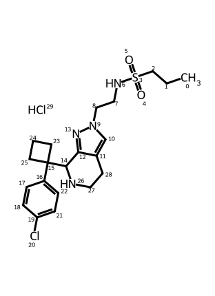 CCCS(=O)(=O)NCCn1cc2c(n1)C(C1(c3ccc(Cl)cc3)CCC1)NCC2.Cl